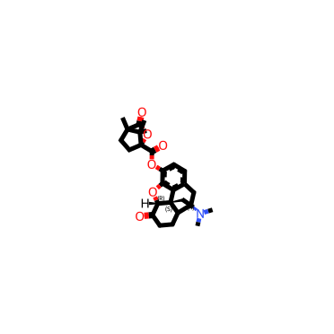 CC[C@]12c3c4ccc(OC(=O)C56CCC(C)(C(=O)O5)C6(C)C)c3O[C@H]1C(=O)CCC2[C@H](N(C)C)C4